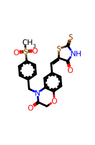 CS(=O)(=O)c1ccc(CN2C(=O)COc3ccc(C=C4SC(=S)NC4=O)cc32)cc1